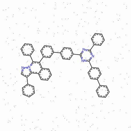 c1ccc(-c2ccc(-c3nc(-c4ccccc4)nc(-c4ccc(-c5cccc(-c6c(-c7ccccc7)n7ncc(-c8ccccc8)c7c7ccccc67)c5)cc4)n3)cc2)cc1